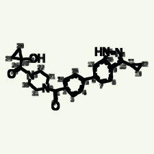 O=C(c1ccc(-c2ccc3c(C4CC4)n[nH]c3c2)cc1)N1CCN(C(=O)C2(O)CC2)CC1